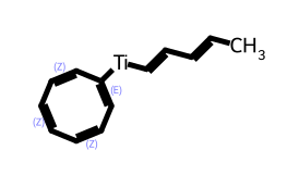 CC=CC=[CH][Ti][C]1=C/C=C\C=C/C=C\1